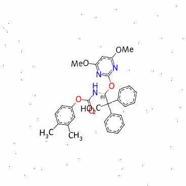 COc1cc(OC)nc(O[C@@H](NC(=O)Oc2ccc(C)c(C)c2)C(C(=O)O)(c2ccccc2)c2ccccc2)n1